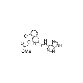 COC(=O)COc1nc(C(C)Nc2ncnc3[nH]cnc23)cc2cccc(Cl)c12